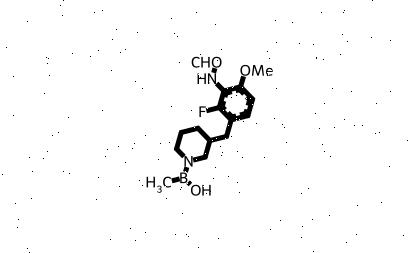 COc1ccc(CC2CCCN(B(C)O)C2)c(F)c1NC=O